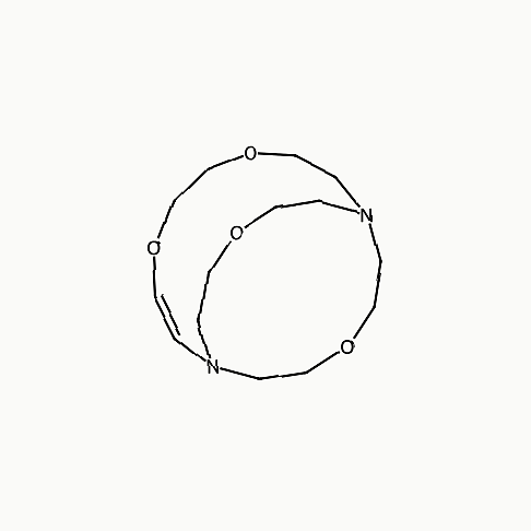 C1=CN2CCOCCN(CCOCCO1)CCOCC2